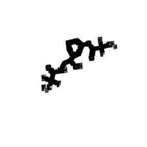 O=C(NCC(O)c1cccc(OC(=O)C(F)(F)C(F)(F)F)c1)C(F)(F)C(F)(F)F